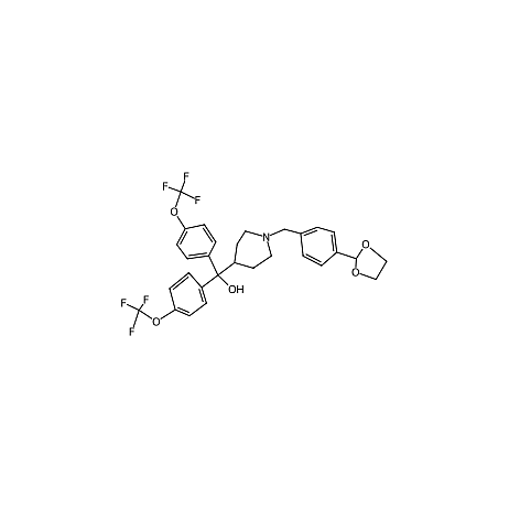 OC(c1ccc(OC(F)(F)F)cc1)(c1ccc(OC(F)(F)F)cc1)C1CCN(Cc2ccc(C3OCCO3)cc2)CC1